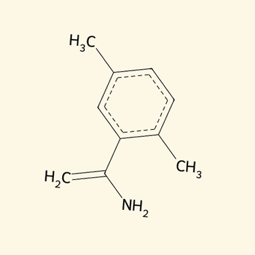 C=C(N)c1cc(C)ccc1C